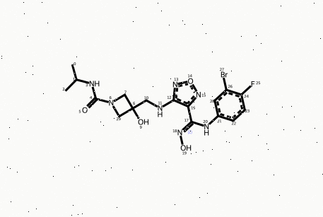 CC(C)NC(=O)N1CC(O)(CNc2nonc2/C(=N/O)Nc2ccc(F)c(Br)c2)C1